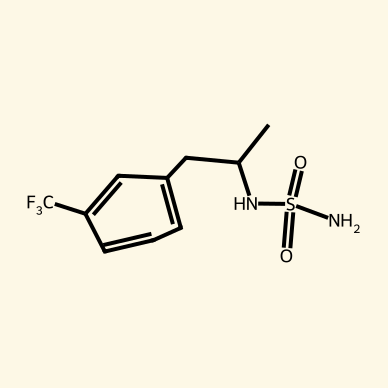 CC(Cc1cccc(C(F)(F)F)c1)NS(N)(=O)=O